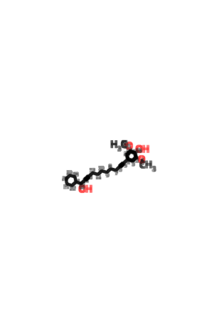 COc1cc(C#CCCCCCCC#CC(O)C2CCCCC2)cc(OC)c1O